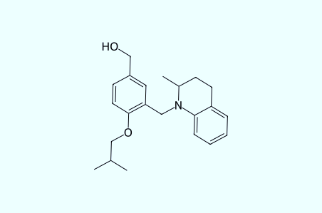 CC(C)COc1ccc(CO)cc1CN1c2ccccc2CCC1C